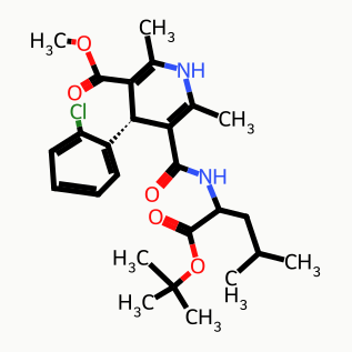 COC(=O)C1=C(C)NC(C)=C(C(=O)NC(CC(C)C)C(=O)OC(C)(C)C)[C@@H]1c1ccccc1Cl